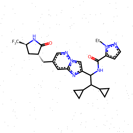 CCn1nccc1C(=O)NC(c1cn2ncc(C[C@@H]3C[C@@H](C(F)(F)F)NC3=O)cc2n1)C(C1CC1)C1CC1